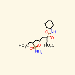 NS(=O)(=O)C(CCCC(CC(=O)O)S(=O)(=O)NC1CCCCC1)CC(=O)O